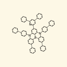 c1ccc(-c2ccc(N3c4ccc(-c5ccccc5)cc4B4c5cc(-c6ccccc6)ccc5N(c5ccc(-c6ccccc6)cc5)c5cc(-c6cc(-c7ccccc7)cc(-c7ccccc7)n6)cc3c54)cc2)cc1